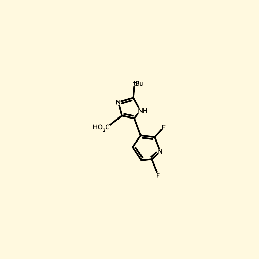 CC(C)(C)c1nc(C(=O)O)c(-c2ccc(F)nc2F)[nH]1